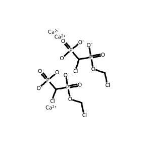 O=P([O-])([O-])C(Cl)P(=O)([O-])OCCl.O=P([O-])([O-])C(Cl)P(=O)([O-])OCCl.[Ca+2].[Ca+2].[Ca+2]